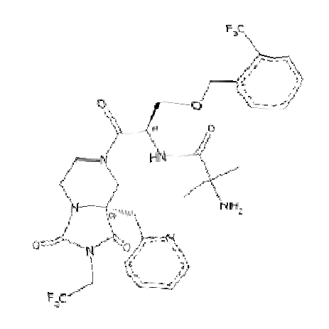 CC(C)(N)C(=O)N[C@H](COCc1ccccc1C(F)(F)F)C(=O)N1CCN2C(=O)N(CC(F)(F)F)C(=O)[C@]2(Cc2ccccn2)C1